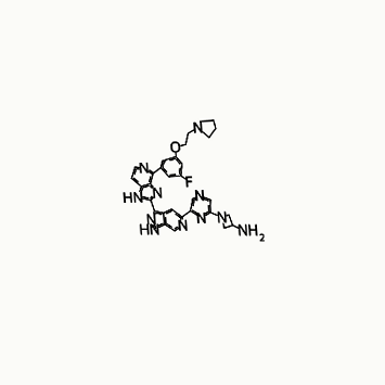 NC1CN(c2cncc(-c3cc4c(-c5nc6c(-c7cc(F)cc(OCCN8CCCC8)c7)nccc6[nH]5)n[nH]c4cn3)n2)C1